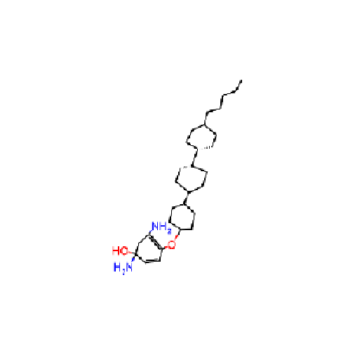 CCCCC[C@H]1CC[C@H]([C@H]2CC[C@H](C3CCC(OC4=C(N)CC(N)(O)C=C4)CC3)CC2)CC1